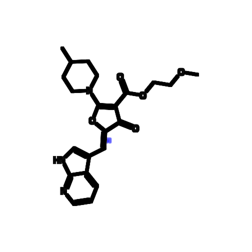 COCCOC(=O)C1=C(N2CCC(C)CC2)O/C(=C\c2c[nH]c3ncccc23)C1=O